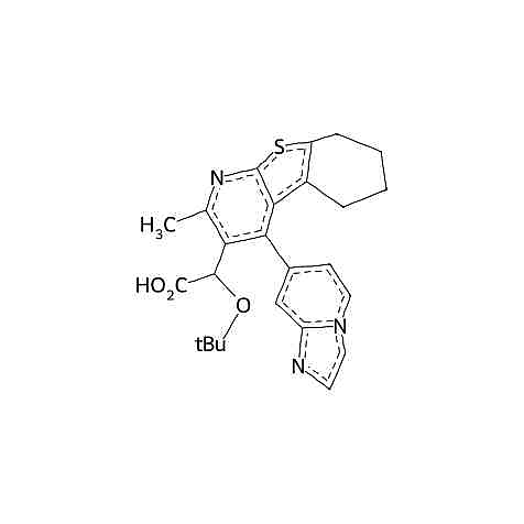 Cc1nc2sc3c(c2c(-c2ccn4ccnc4c2)c1C(OC(C)(C)C)C(=O)O)CCCC3